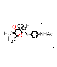 C=C1C(=O)[C@](CC)(C(=O)O)[C@H](CCc2ccc(NC(C)=O)cc2)O[C@@H]1C